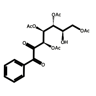 CC(=O)OC[C@@H](O)[C@@H](OC(C)=O)[C@H](OC(C)=O)[C@@H](OC(C)=O)C(=O)C(=O)c1ccccc1